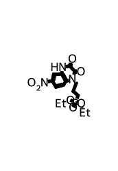 CCOP(=O)(CCCn1c(=O)c(=O)[nH]c2cc([N+](=O)[O-])ccc21)OCC